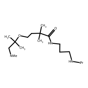 CNCC(C)(C)OCCC(C)(C)C(=O)NCCCNC(C)C